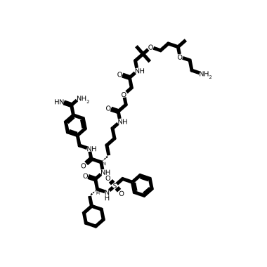 CC(CCOC(C)(C)CNC(=O)COCC(=O)NCCCC[C@H](NC(=O)[C@@H](CC1CCCCC1)NS(=O)(=O)Cc1ccccc1)C(=O)NCc1ccc(C(=N)N)cc1)OCCN